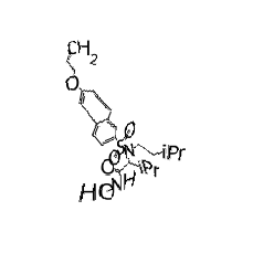 C=CCOc1ccc2cc(S(=O)(=O)N(CCC(C)C)C(C(=O)NO)C(C)C)ccc2c1